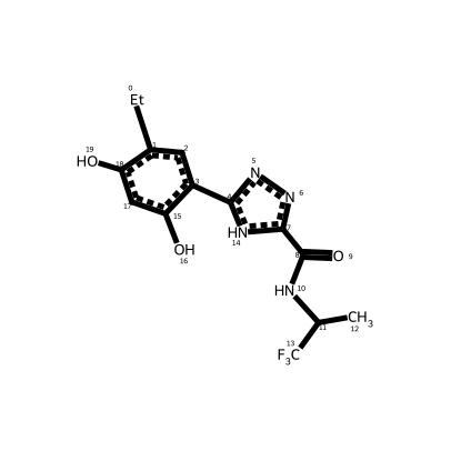 CCc1cc(-c2nnc(C(=O)NC(C)C(F)(F)F)[nH]2)c(O)cc1O